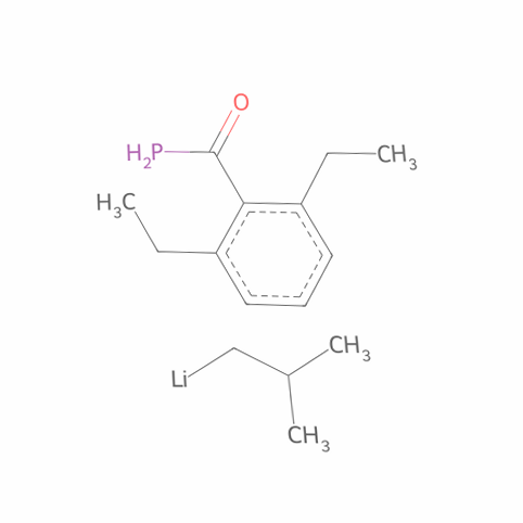 CCc1cccc(CC)c1C(=O)P.[Li][CH2]C(C)C